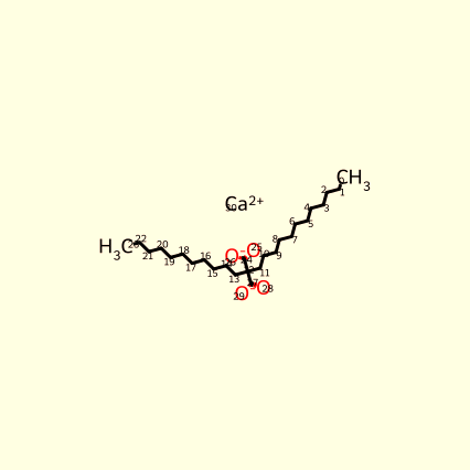 CCCCCCCCCCCCC(CCCCCCCCCCC)(C(=O)[O-])C(=O)[O-].[Ca+2]